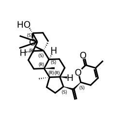 C=C([C@@H]1CC=C(C)C(=O)O1)[C@H]1CC[C@]2(C)[C@@H]1CC[C@@H]1[C@]34CC[C@](O)(OC3)C(C)(C)[C@@H]4CC[C@]12C